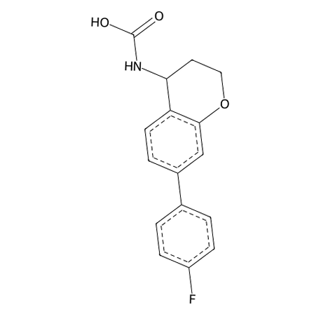 O=C(O)NC1CCOc2cc(-c3ccc(F)cc3)ccc21